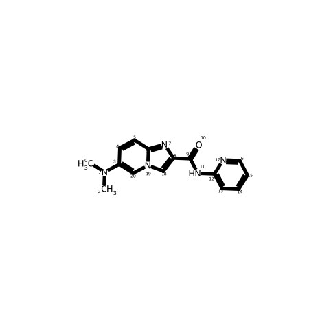 CN(C)c1ccc2nc(C(=O)Nc3ccccn3)cn2c1